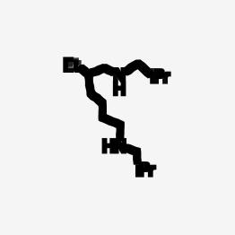 CCC(CCCCNCC(C)C)CNCC(C)C